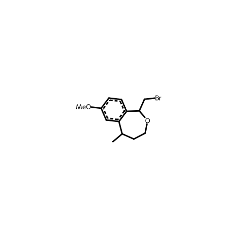 COc1ccc2c(c1)C(C)CCOC2CBr